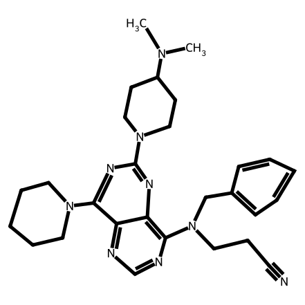 CN(C)C1CCN(c2nc(N3CCCCC3)c3ncnc(N(CCC#N)Cc4ccccc4)c3n2)CC1